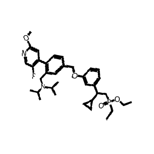 CCOP(=O)(CC)CC(c1cccc(OCc2ccc(-c3cc(OC)ncc3F)c(CN(C(C)C)C(C)C)c2)c1)C1CC1